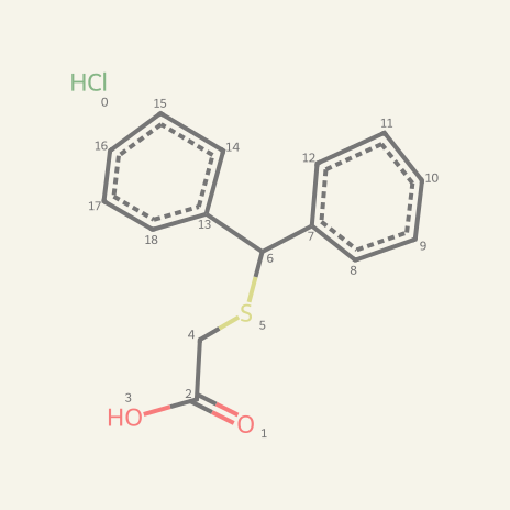 Cl.O=C(O)CSC(c1ccccc1)c1ccccc1